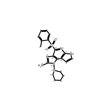 Cc1ccccc1S(=O)(=O)c1nc2[nH]ccc2c2c1nc(N)n2N1CCCCC1